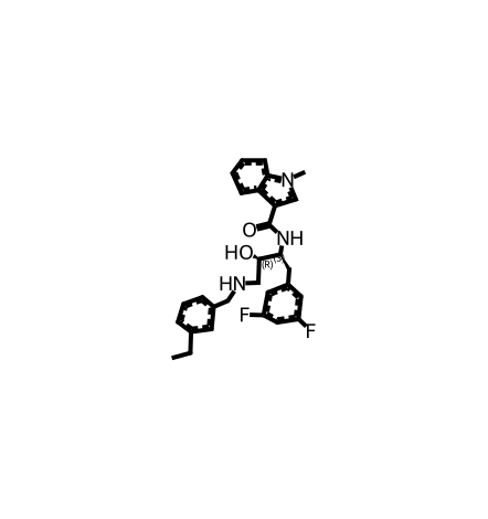 CCc1cccc(CNC[C@@H](O)[C@H](Cc2cc(F)cc(F)c2)NC(=O)c2cn(C)c3ccccc23)c1